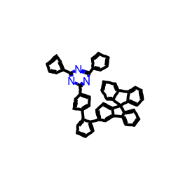 c1ccc(-c2nc(-c3ccccc3)nc(-c3ccc(-c4ccccc4-c4ccc5c(c4)-c4ccccc4C54c5ccccc5-c5ccccc54)cc3)n2)cc1